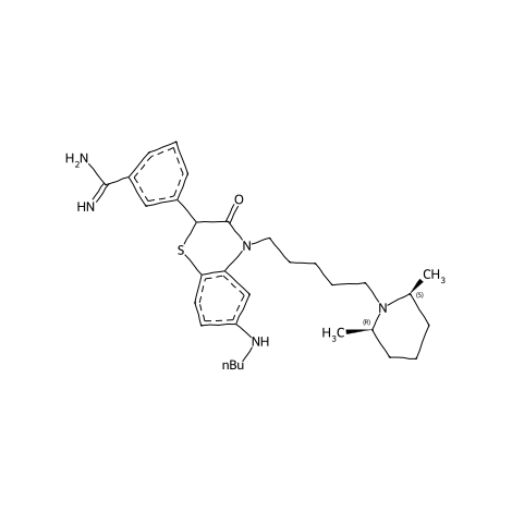 CCCCNc1ccc2c(c1)N(CCCCCN1[C@H](C)CCC[C@@H]1C)C(=O)C(c1cccc(C(=N)N)c1)S2